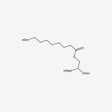 CCCCCCCCCCCCCCCCCC(=O)OCC(CCCCCC)CCCCCCC